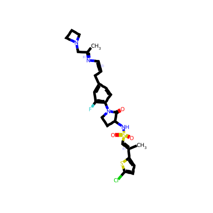 C/C(=C\S(=O)(=O)NC1CCN(c2ccc(C/C=C\N=C(/C)CN3CCC3)cc2F)C1=O)c1ccc(Cl)s1